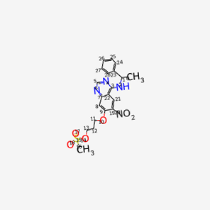 CC(Nc1ncnc2cc(OCCCOS(C)(=O)=O)c([N+](=O)[O-])cc12)c1ccccc1